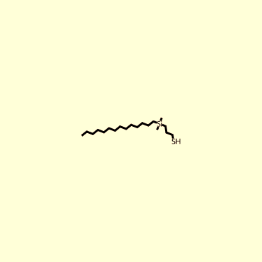 CCCCCCCCCCCCCC[Si](C)(C)CCCS